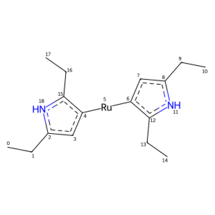 CCc1c[c]([Ru][c]2cc(CC)[nH]c2CC)c(CC)[nH]1